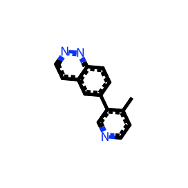 Cc1ccncc1-c1ccc2nnccc2c1